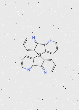 c1cnc2c(c1)[Si]1(c3cccnc3-2)c2cccnc2-c2ncccc21